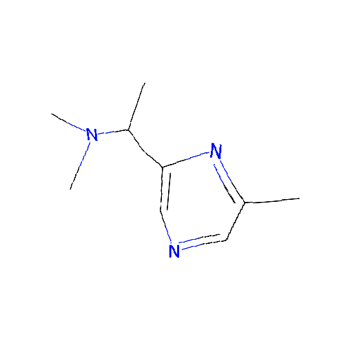 Cc1cncc(C(C)N(C)C)n1